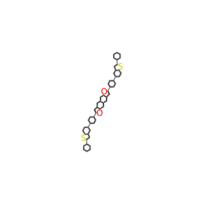 c1ccc(-c2cc3cc(-c4ccc(-c5cc6cc7cc8oc(-c9ccc(-c%10ccc%11sc(-c%12ccccc%12)cc%11c%10)cc9)cc8cc7cc6o5)cc4)ccc3s2)cc1